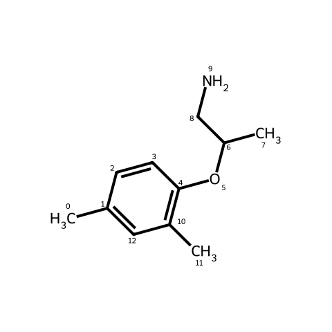 Cc1ccc(OC(C)CN)c(C)c1